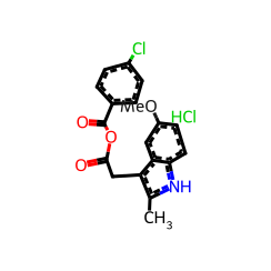 COc1ccc2[nH]c(C)c(CC(=O)OC(=O)c3ccc(Cl)cc3)c2c1.Cl